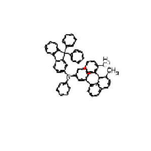 Cc1ccccc1-c1c(C)ccc2cccc(-c3cccc(N(c4ccccc4)c4ccc5c(c4)C(c4ccccc4)(c4ccccc4)c4ccccc4-5)c3)c12